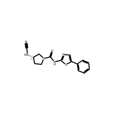 N#CN[C@H]1CCN(C(=O)Nc2ncc(-c3ccccc3)s2)C1